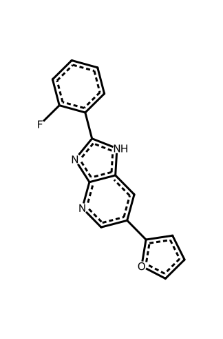 Fc1ccccc1-c1nc2ncc(-c3ccco3)cc2[nH]1